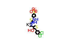 CC(=NNC(=S)Nc1ccc(S(=O)(=O)[O-])cc1)c1csc(-c2ccc(Cl)c(Cl)c2)c1O.[K+]